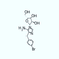 Nc1c([CH]c2ccc(Br)cc2)ncn1[C@@H]1O[C@H](CO)[C@@H](O)[C@H]1O